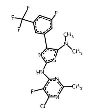 Cc1nc(Cl)c(F)c(Nc2nc(-c3cc(F)cc(C(F)(F)F)c3)c(N(C)C)s2)n1